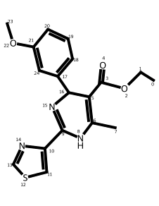 CCOC(=O)C1=C(C)NC(c2cscn2)=NC1c1cccc(OC)c1